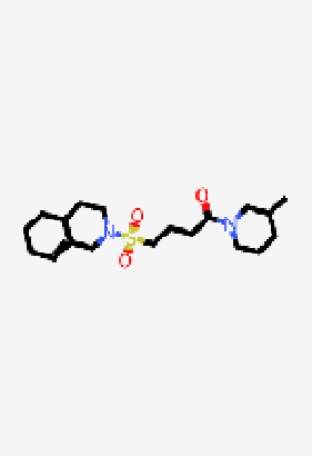 CC1CCCN(C(=O)CCCS(=O)(=O)N2CCC3CCCC=C3C2)C1